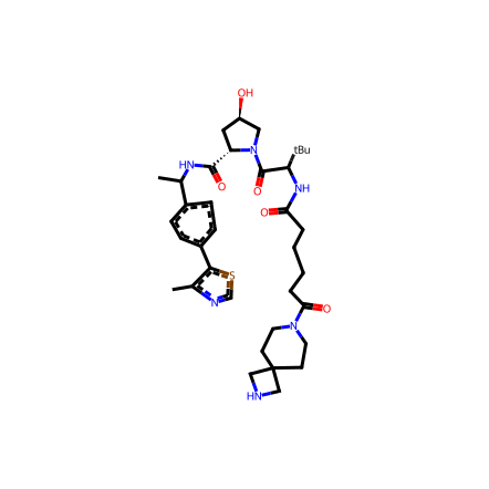 Cc1ncsc1-c1ccc(C(C)NC(=O)[C@@H]2C[C@@H](O)CN2C(=O)C(NC(=O)CCCCC(=O)N2CCC3(CC2)CNC3)C(C)(C)C)cc1